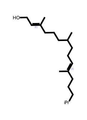 C/C(=C\CCC(C)CCC/C(C)=C/CO)CCCC(C)C